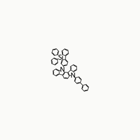 c1ccc(-c2ccc(-n3c4ccccc4c4c3ccc3c5ccccc5n(-c5ccc6c(c5)[Si](c5ccccc5)(c5ccccc5)c5ccccc5-6)c34)cc2)cc1